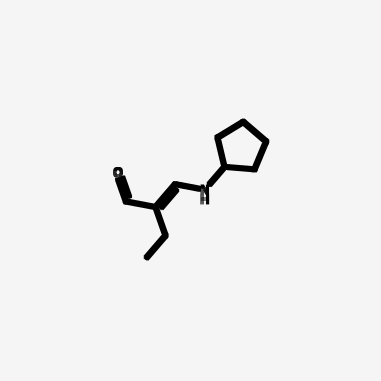 CC/C(C=O)=C\NC1CCCC1